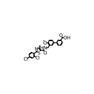 COc1ccc(-c2cccc(C(=O)O)c2)cc1CNC(=O)c1sc(-c2ccc(Cl)cc2Cl)nc1C